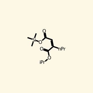 CCCC(=CC(=O)O[Si](C)(C)C)C(=O)OC(C)C